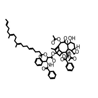 C/C=C/CC/C(C)=C/CC/C(C)=C/CC/C=C/CCC(=O)OC(C(=O)OC12C[C@@]3(O)C(CC(=O)c4ccccc4)[C@@H]4[C@]5(OC(C)=O)CO[C@@H]5C[C@H](O)[C@@]4(C)C(=O)[C@H](OC(C)=O)C(=C1C)[C@@]23C)[C@@H](NC(=O)c1ccccc1)c1ccccc1